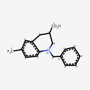 O=C(O)C1Cc2cc(C(F)(F)F)ccc2N(Cc2ccccc2)C1